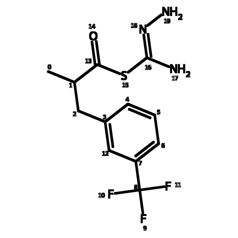 CC(Cc1cccc(C(F)(F)F)c1)C(=O)SC(N)=NN